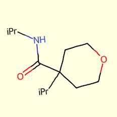 CC(C)NC(=O)C1(C(C)C)CCOCC1